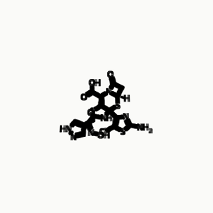 Nc1nc(C2(NC(=O)/C=N\O)S[C@@H]3CC(=O)N3C(C(=O)O)=C2SCc2cn[nH]c2)c(Cl)s1